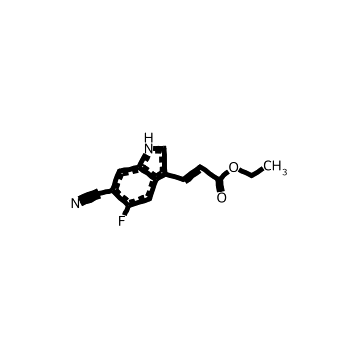 CCOC(=O)C=Cc1c[nH]c2cc(C#N)c(F)cc12